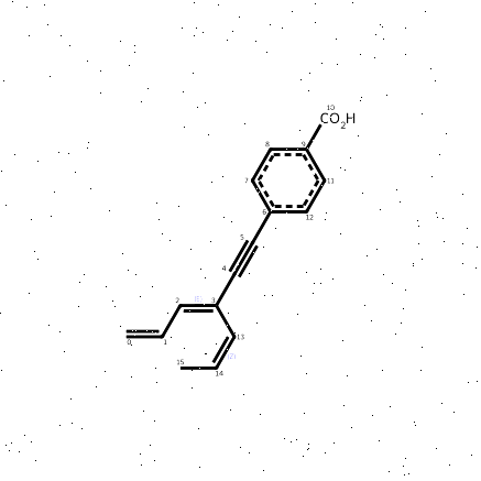 C=C/C=C(C#Cc1ccc(C(=O)O)cc1)\C=C/C